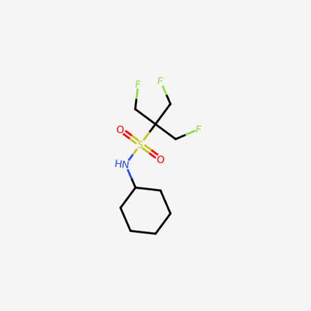 O=S(=O)(NC1CCCCC1)C(CF)(CF)CF